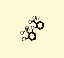 O=C(O)c1ccccc1Oc1cccc(Cl)c1[N+](=O)[O-]